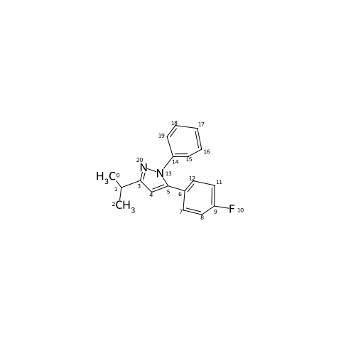 CC(C)c1cc(-c2ccc(F)cc2)n(-c2ccccc2)n1